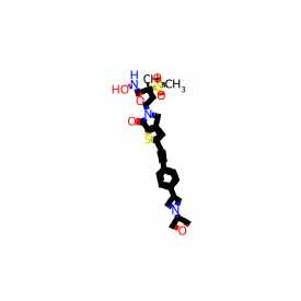 C[C@@](CCN1Cc2cc(C#Cc3ccc(C4CN(C5COC5)C4)cc3)sc2C1=O)(C(=O)NO)S(C)(=O)=O